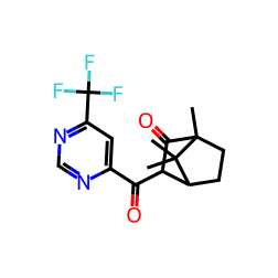 CC12CCC(C(C(=O)c3cc(C(F)(F)F)ncn3)C1=O)C2(C)C